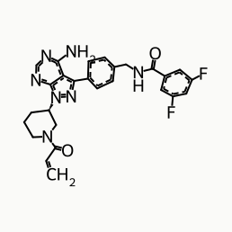 C=CC(=O)N1CCC[C@@H](n2nc(-c3ccc(CNC(=O)c4cc(F)cc(F)c4)cc3)c3c(N)ncnc32)C1